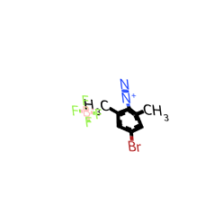 Cc1cc(Br)cc(C)c1[N+]#N.F[B-](F)(F)F